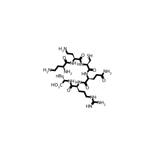 CCCC[C@H](NC(=O)[C@H](CCCNC(=N)N)NC(=O)[C@H](CCC(N)=O)NC(=O)[C@H](CS)NC(=O)[C@H](CCN)NC(=O)[C@@H](N)CCN)C(=O)O